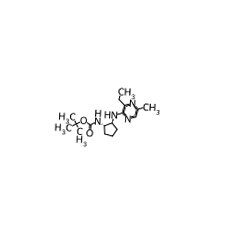 CCc1nc(C)cnc1N[C@H]1CCC[C@@H]1NC(=O)OC(C)(C)C